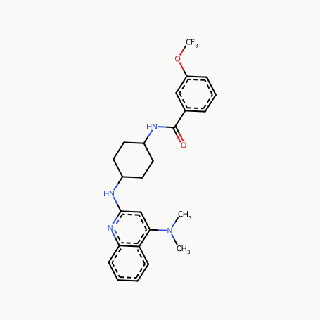 CN(C)c1cc(NC2CCC(NC(=O)c3cccc(OC(F)(F)F)c3)CC2)nc2ccccc12